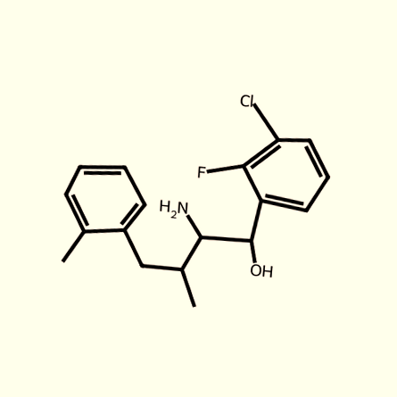 Cc1ccccc1CC(C)C(N)C(O)c1cccc(Cl)c1F